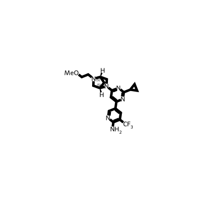 COCCN1C[C@@H]2C[C@H]1CN2c1cc(-c2cnc(N)c(C(F)(F)F)c2)nc(C2CC2)n1